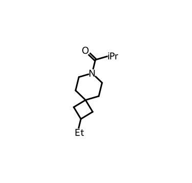 CCC1CC2(CCN(C(=O)C(C)C)CC2)C1